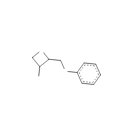 CCC1COC1COc1ccccc1